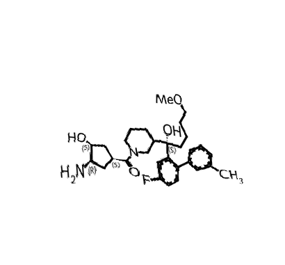 COCCCC[C@@](O)(c1cc(F)ccc1-c1cccc(C)c1)C1CCCN(C(=O)[C@H]2C[C@@H](N)[C@@H](O)C2)C1